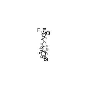 O=C(OCCCCC1CCc2cc(Br)ccc2O1)C(F)(F)F